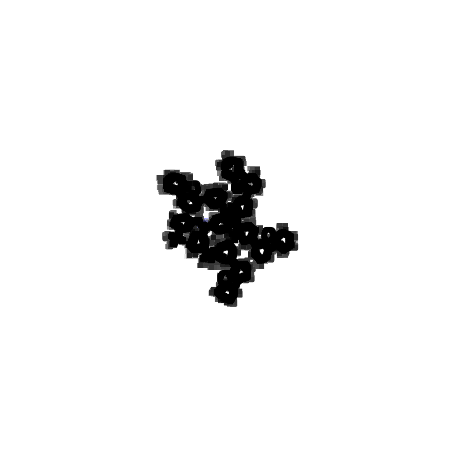 CC(C)(C)c1cccc(/C=C(\c2cccc(C(C)(C)C)c2)c2cc3c4c(c2)N(c2cccc(-c5cccc6c5oc5ccccc56)c2)C2CC(C5=c6oc7ccccc7c6=CCC5)=CC=C2B4c2ccc(-c4cccc5c4oc4ccccc45)cc2N3c2cccc(-c3cccc4c3oc3ccccc34)c2)c1